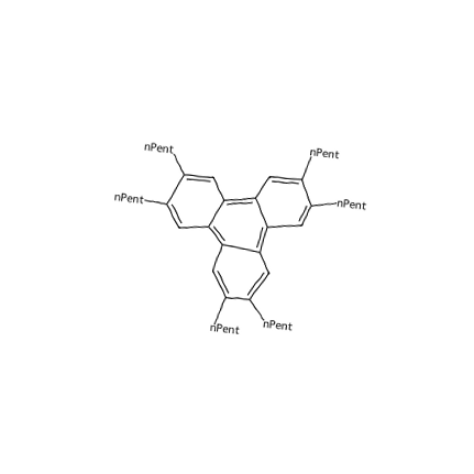 CCCCCc1cc2c3cc(CCCCC)c(CCCCC)cc3c3cc(CCCCC)c(CCCCC)cc3c2cc1CCCCC